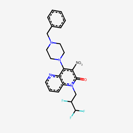 O=c1c([N+](=O)[O-])c(N2CCN(Cc3ccccc3)CC2)c2ncccc2n1CC(F)C(F)F